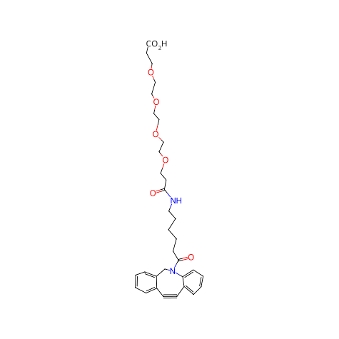 O=C(O)CCOCCOCCOCCOCCC(=O)NCCCCCC(=O)N1Cc2ccccc2C#Cc2ccccc21